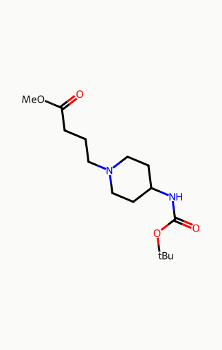 COC(=O)CCCN1CCC(NC(=O)OC(C)(C)C)CC1